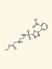 CCOC(=O)CNCCNS(=O)(=O)c1nnc(-c2ccccc2[N+](=O)[O-])s1